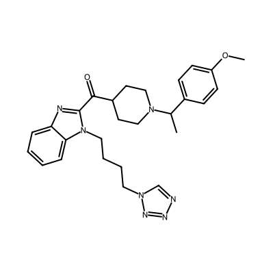 COc1ccc(C(C)N2CCC(C(=O)c3nc4ccccc4n3CCCCn3cnnn3)CC2)cc1